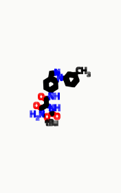 Cc1cccc(-n2ncc3ccc(NC(=O)C(NC(=O)OC(C)(C)C)C(N)=O)cc32)c1